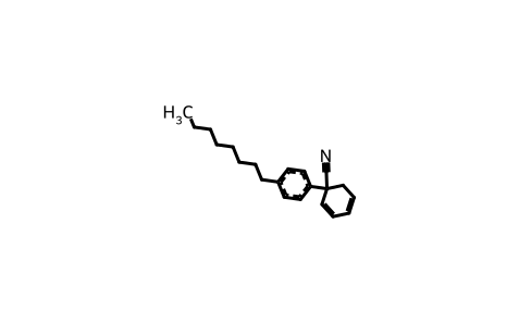 CCCCCCCCc1ccc(C2(C#N)C=CC=CC2)cc1